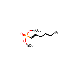 CCCCCCCCOP(=O)(C=CCCCC(C)C)OCCCCCCCC